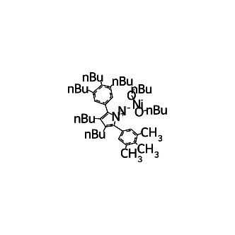 CCCCC1=C(c2cc(C)c(C)c(C)c2)[N+](=[N-])C(c2cc(CCCC)c(CCCC)c(CCCC)c2)=C1CCCC.CCCC[O][Ni][O]CCCC